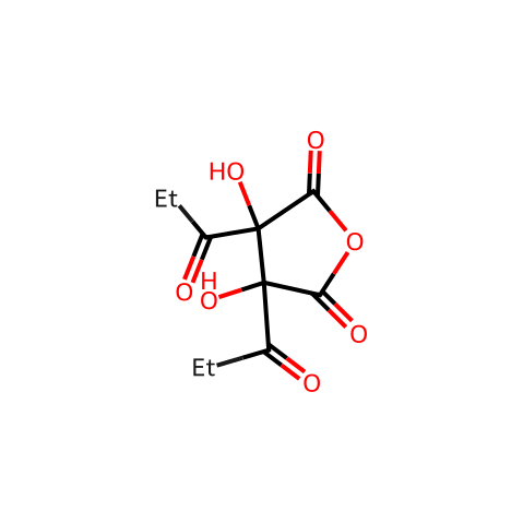 CCC(=O)C1(O)C(=O)OC(=O)C1(O)C(=O)CC